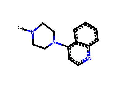 [2H]N1CCN(c2ccnc3ccccc23)CC1